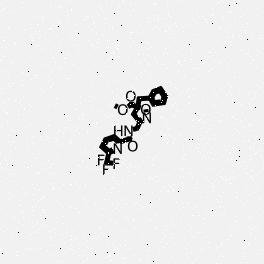 COC(=O)C1(Cc2ccccc2)CC(CNC(=O)c2cccc(C(F)(F)F)n2)=NO1